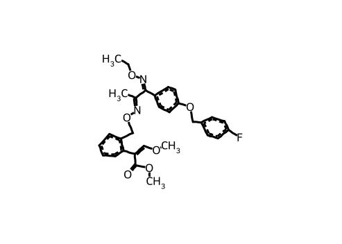 CCO/N=C(\C(C)=N\OCc1ccccc1/C(=C/OC)C(=O)OC)c1ccc(OCc2ccc(F)cc2)cc1